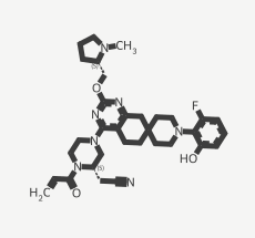 C=CC(=O)N1CCN(c2nc(OC[C@@H]3CCCN3C)nc3c2CCC2(CCN(c4c(O)cccc4F)CC2)C3)C[C@@H]1CC#N